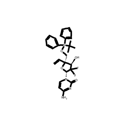 C=C[C@]1(CO[Si](c2ccccc2)(c2ccccc2)C(C)(C)C)O[C@@H](n2ccc(N)nc2=O)C(F)(F)[C@@H]1O